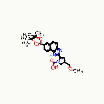 COCC1CC(c2nc3ccc4cc(B5OC(C)(C)C(C)(C)O5)ccc4c3[nH]2)N(C(=O)O)C1